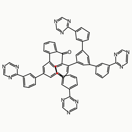 O=C(c1ccccc1-c1cc(-c2cccc(-c3ncncn3)c2)cc(-c2cccc(-c3ncncn3)c2)c1)c1ccccc1-c1cc(-c2cccc(-c3ncncn3)c2)cc(-c2cccc(-c3ncncn3)c2)c1